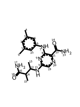 Cc1cc(C)cc(Nc2nc(NC(C)C(C)C(N)=O)cnc2C(N)=O)c1